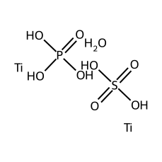 O.O=P(O)(O)O.O=S(=O)(O)O.[Ti].[Ti]